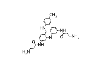 Cc1ccc(Nc2c3ccc(NC(=O)CCN)cc3nc3cc(NC(=O)CCN)ccc23)cc1